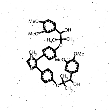 COc1ccc(C(O)C(C)(C)Oc2ccc(-c3ncn(C)c3-c3ccc(OC(C)(C)C(O)c4ccc(OC)c(OC)c4)cc3)cc2)cc1OC